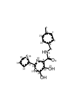 Cc1ccc(CNC(=O)c2nc(-c3cccs3)nc(O)c2O)cc1